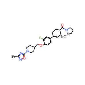 CC(C)c1noc(N2CCC(COc3ccc(C4=CCC(C(=O)N5CCC[C@@H]5C#N)CC4)cc3F)CC2)n1